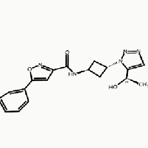 C[C@@H](O)c1cnnn1[C@H]1C[C@H](NC(=O)c2cc(-c3ccccc3)on2)C1